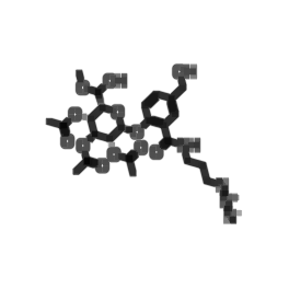 COC(O)[C@H]1O[C@@H](Oc2ccc(CO)cc2C(=O)NCCCN=[N+]=[N-])[C@H](OC(C)=O)[C@@H](OC(C)=O)[C@@H]1OC(C)=O